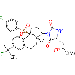 COC(=O)C[C@H]1NC(=O)N([C@@H]2CC[C@@]3(S(=O)(=O)c4ccc(F)cc4)c4ccc(C(C)(F)C(F)(F)F)cc4CC[C@@H]23)C1=O